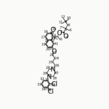 CC(OC(=O)C(C)(C)CC(C)(C)C)n1c(=O)ccc2ccc(OCCCCN3CCN(c4cccc(Cl)c4Cl)CC3)cc21